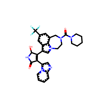 O=C1NC(O)C(c2cn3c4c(cc(C(F)(F)F)cc24)CN(C(=O)N2CCCCC2)CC3)=C1c1cnc2ccccn12